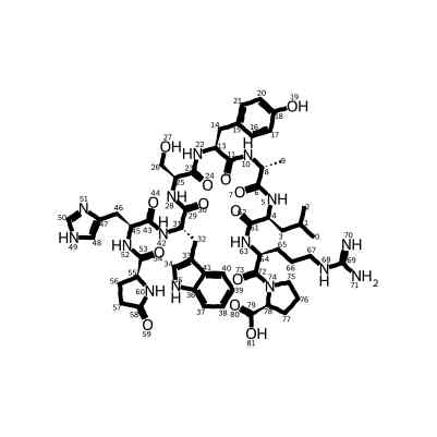 CC(C)C[C@H](NC(=O)[C@@H](C)NC(=O)[C@H](Cc1ccc(O)cc1)NC(=O)[C@H](CO)NC(=O)[C@H](Cc1c[nH]c2ccccc12)NC(=O)[C@H](Cc1c[nH]cn1)NC(=O)[C@@H]1CCC(=O)N1)C(=O)N[C@@H](CCCNC(=N)N)C(=O)N1CCC[C@H]1C(=O)O